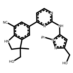 CC(C)n1nc(CO)cc1Nc1nccc(-c2cc(C#N)c3c(c2)C(C)(CO)CN3)n1